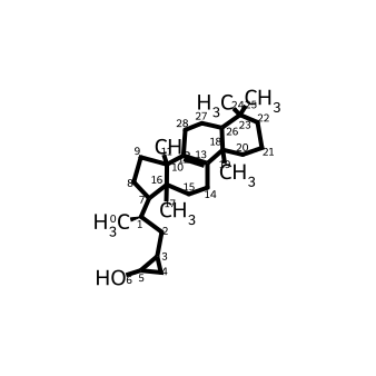 C[C@H](CC1CC1O)C1CCC2(C)C3=C(CCC12C)C1(C)CCCC(C)(C)C1CC3